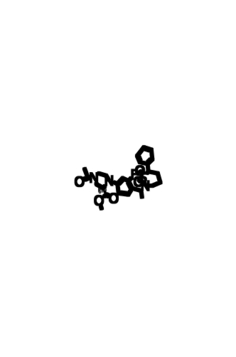 COC(=O)[C@@H]1CN(C(C)=O)CCN1c1ccc(C(C)N2CCCC(c3ccccc3)S2(=O)=O)c(F)c1